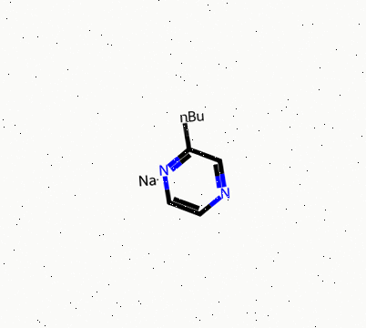 CCCCc1cnccn1.[Na]